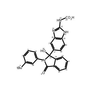 CC(C)(C)c1cccc(N2C(=O)c3ccccc3C2(O)c2ccc3[nH]c(NC(=O)O)nc3c2)c1